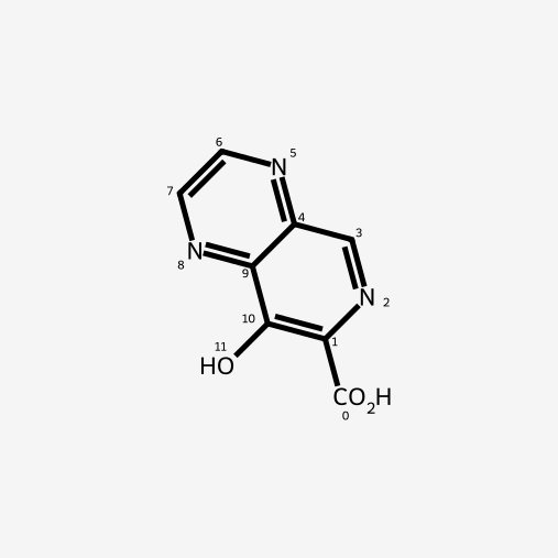 O=C(O)c1ncc2nccnc2c1O